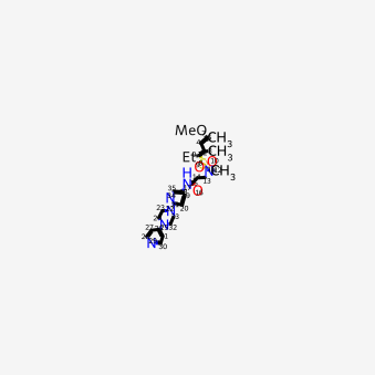 CC/C(=C(C)\C=C(/C)OC)S(=O)(=O)N(C)CCC(=O)Nc1ccc(N2CCN(c3ccncc3)CC2)nc1